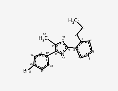 CCCc1ccncc1-c1nc(-c2ccc(Br)cc2)c(C)s1